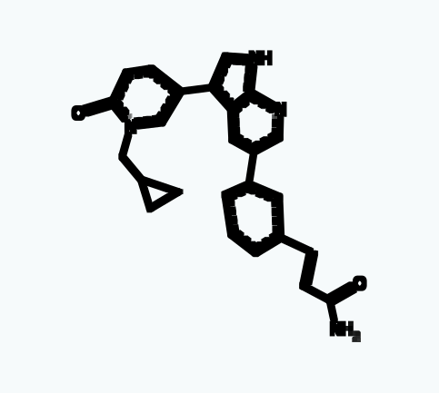 NC(=O)C=Cc1cccc(-c2cnc3[nH]cc(-c4ccc(=O)n(CC5CC5)c4)c3c2)c1